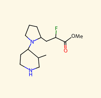 COC(=O)C(F)CC1CCCN1C1CCNCC1C